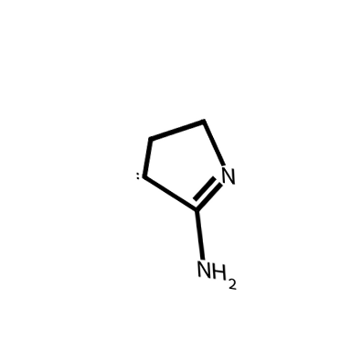 NC1=NCC[C]1